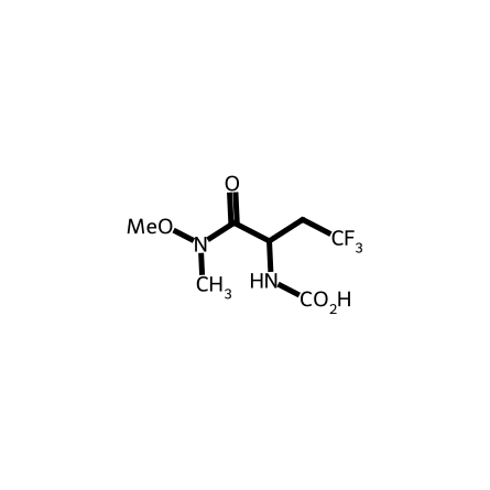 CON(C)C(=O)C(CC(F)(F)F)NC(=O)O